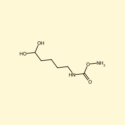 NOC(=O)NCCCCC(O)O